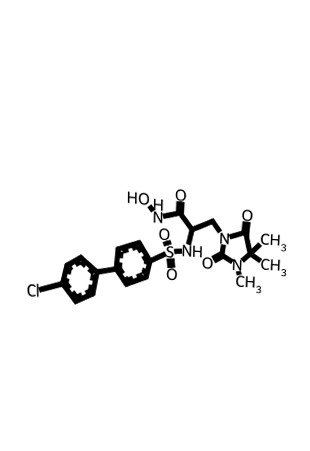 CN1C(=O)N(CC(NS(=O)(=O)c2ccc(-c3ccc(Cl)cc3)cc2)C(=O)NO)C(=O)C1(C)C